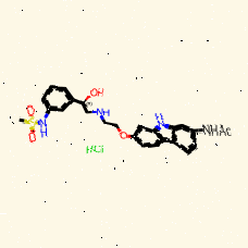 CC(=O)Nc1ccc2c(c1)[nH]c1cc(OCCNC[C@H](O)c3cccc(NS(C)(=O)=O)c3)ccc12.Cl